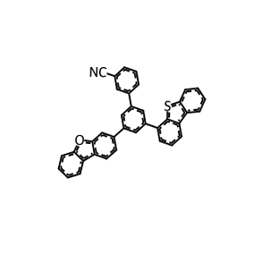 N#Cc1cccc(-c2cc(-c3ccc4c(c3)oc3ccccc34)cc(-c3cccc4c3sc3ccccc34)c2)c1